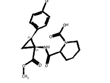 COC(=O)[C@]1(NC(=O)C2CCCCN2C(=O)O)C[C@H]1c1ccc(Br)cc1